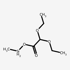 CCOC(OCC)C(=O)O[SiH2]C